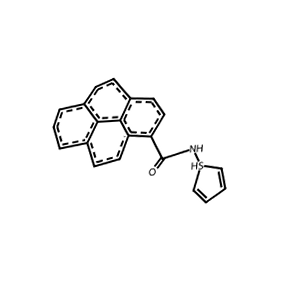 O=C(N[SH]1C=CC=C1)c1ccc2ccc3cccc4ccc1c2c34